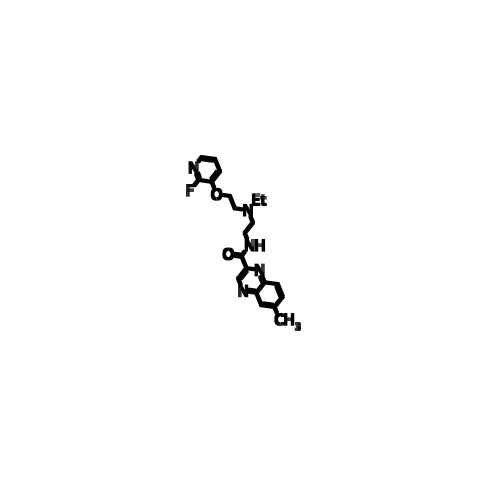 CCN(CCNC(=O)c1cnc2cc(C)ccc2n1)CCOc1cccnc1F